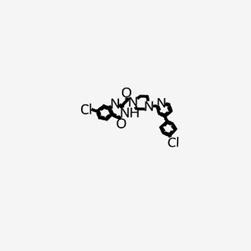 O=C(c1nc2cc(Cl)ccc2c(=O)[nH]1)N1CCN(c2cc(-c3ccc(Cl)cc3)ccn2)CC1